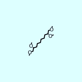 COCC(CCCCCCC(COC)OC)OC